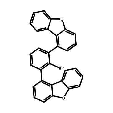 CC(C)c1c(-c2cccc3oc4ccccc4c23)cccc1-c1cccc2oc3ccccc3c12